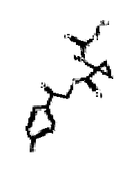 CC(C)(C)OC(=O)NC1(C(=O)OCC(=O)c2ccc(Br)cc2)CC1